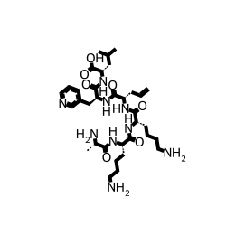 C=CC[C@H](NC(=O)[C@H](CCCCN)NC(=O)[C@H](CCCCN)NC(=O)[C@H](C)N)C(=O)N[C@@H](Cc1cccnc1)C(=O)N[C@@H](CC(C)C)C(=O)O